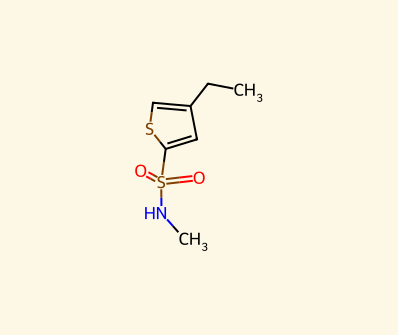 CCc1csc(S(=O)(=O)NC)c1